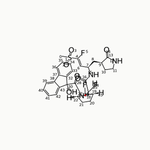 CS(=O)(=O)/C(F)=C/[C@@H](C[C@@H]1CCNC1=O)NC(=O)[C@H]1[C@@H]2CC[C@@H](CC2(F)F)N1C(=O)C1(O)c2ccccc2-c2ccccc21